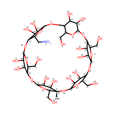 NCC1OC2OC3C(CO)OC(OC4C(CO)OC(OC5C(CO)OC(O[C@@H]6C(CO)OC(OC7C(CO)OC(OC1C(O)C2O)C(O)C7O)C(O)C6O)C(O)C5O)C(O)C4O)C(O)C3O